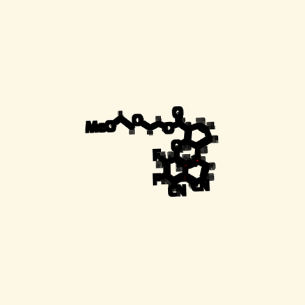 COCCOCCOC(=O)c1cccc(-c2ccccc2)c1Oc1c(F)c(F)c(C#N)c(C#N)c1F